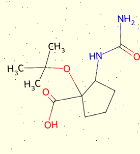 CC(C)(C)OC1(C(=O)O)CCCC1NC(N)=O